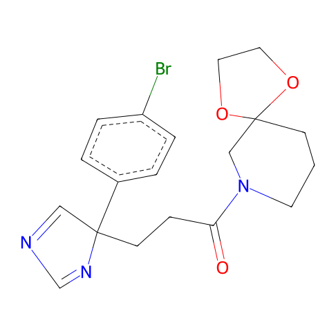 O=C(CCC1(c2ccc(Br)cc2)C=NC=N1)N1CCCC2(C1)OCCO2